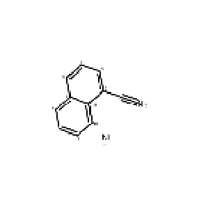 N#Cc1cccc2ccccc12.[Ni]